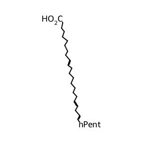 CCCCC/C=C/C/C=C/CCCCCCC/C=C/CCCCCCCCC(=O)O